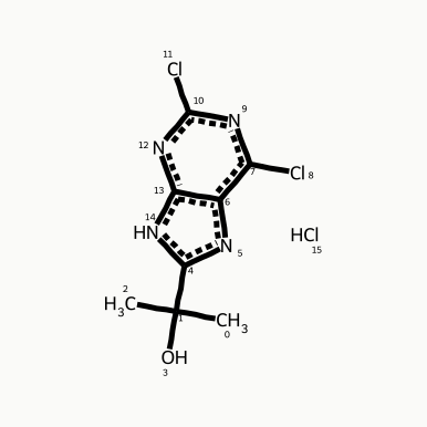 CC(C)(O)c1nc2c(Cl)nc(Cl)nc2[nH]1.Cl